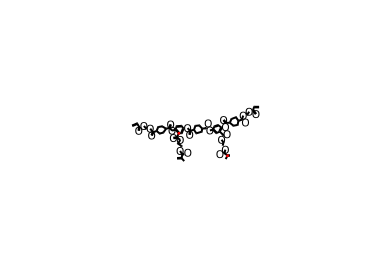 C=CC(=O)OCOC(=O)C1CCC(C(=O)Oc2ccc(OC(=O)C3CCC(C(=O)Oc4ccc(OC(=O)C5CCC(C(=O)OCOC(=O)C=C)CC5)c(C(=O)OCCOC(=O)C(=C)C)c4)CC3)cc2C(=O)OCCOC(=O)C(=C)C)CC1